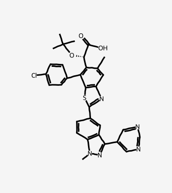 Cc1cc2nc(-c3ccc4c(c3)c(-c3cncnc3)nn4C)sc2c(-c2ccc(Cl)cc2)c1[C@H](OC(C)(C)C)C(=O)O